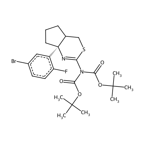 CC(C)(C)OC(=O)N(C(=O)OC(C)(C)C)C1=N[C@@]2(c3cc(Br)ccc3F)CCCC2CS1